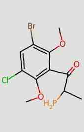 COc1c(Cl)cc(Br)c(OC)c1C(=O)C(C)P